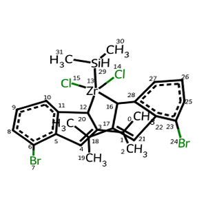 CC(C)C1=Cc2c(Br)cccc2[CH]1[Zr]([Cl])([Cl])([CH]1C(C(C)C)=Cc2c(Br)cccc21)[SiH](C)C